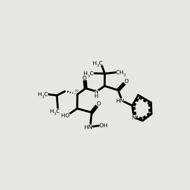 CC(C)C[C@H](C(=O)NC(C(=O)Nc1ccccn1)C(C)(C)C)C(O)C(=O)NO